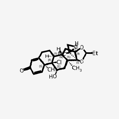 CCC1O[C@@H]2C[C@H]3[C@@H]4CCC5=CC(=O)C=C[C@]5(C)[C@@]4(Cl)[C@@H](O)C[C@]3(C)[C@]2(C2(C#N)CO2)O1